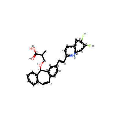 CC(COC1c2ccccc2C=Cc2ccc(C=Cc3ccc4cc(F)c(F)cc4n3)cc21)C(=O)O